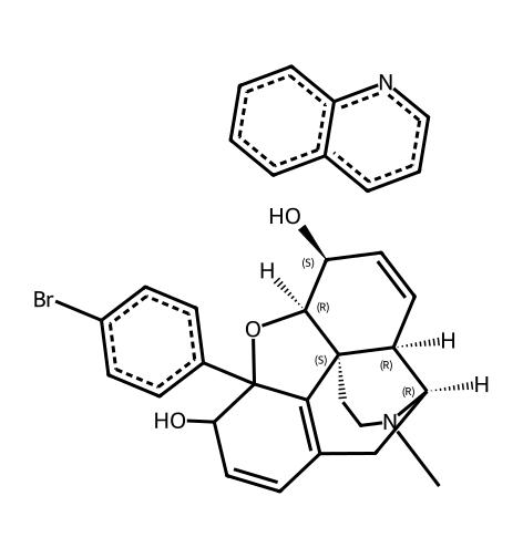 CN1CC[C@]23C4=C5C=CC(O)C4(c4ccc(Br)cc4)O[C@H]2[C@@H](O)C=C[C@H]3[C@H]1C5.c1ccc2ncccc2c1